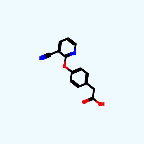 N#Cc1cccnc1Oc1ccc(CC(=O)O)cc1